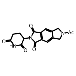 CC(=O)N1Cc2cc3c(cc2C1)C(=O)N(C1CCC(=O)NC1=O)C3=O